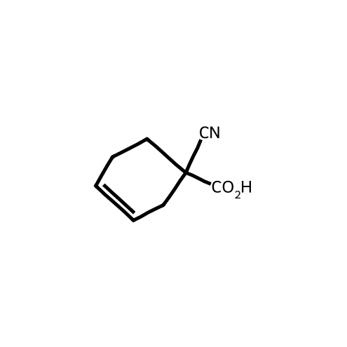 N#CC1(C(=O)O)CC=CCC1